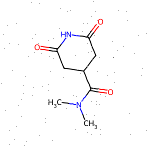 CN(C)C(=O)C1CC(=O)NC(=O)C1